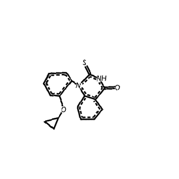 O=c1[nH]c(=S)n(-c2ccccc2OC2CC2)c2ccccc12